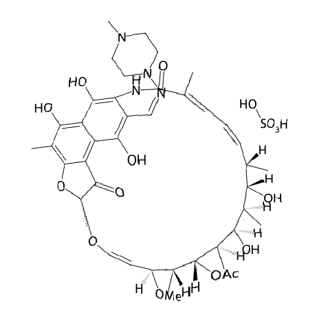 CO[C@H]1C=CO[C@@]2(C)Oc3c(C)c(O)c4c(O)c(c(C=NN5CCN(C)CC5)c(O)c4c3C2=O)NC(=O)C(C)=CC=C[C@H](C)[C@H](O)[C@@H](C)[C@@H](O)[C@@H](C)[C@H](OC(C)=O)[C@@H]1C.O=S(=O)(O)O